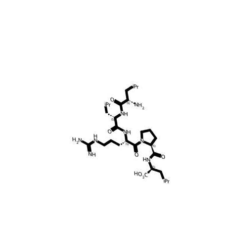 CC(C)C[C@H](NC(=O)[C@@H]1CCCN1C(=O)[C@H](CCCNC(=N)N)NC(=O)[C@H](CC(C)C)NC(=O)[C@@H](N)CC(C)C)C(=O)O